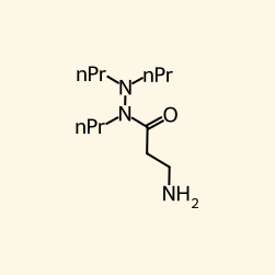 CCCN(CCC)N(CCC)C(=O)CCN